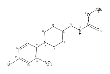 CC(C)(C)OC(=O)NCC1CCN(c2ccc(Br)cc2[N+](=O)[O-])CC1